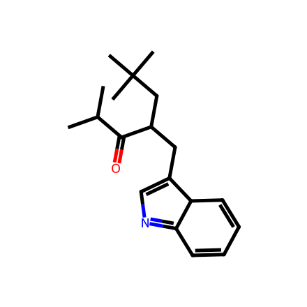 CC(C)C(=O)C(CC1=CN=C2C=CC=CC12)CC(C)(C)C